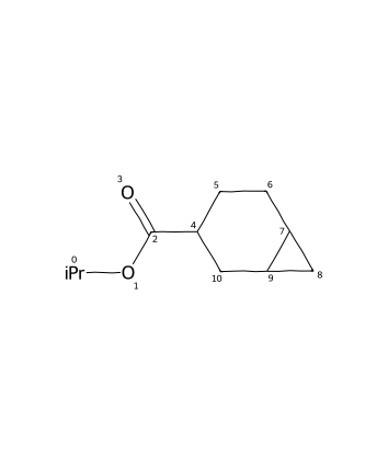 CC(C)OC(=O)C1CCC2CC2C1